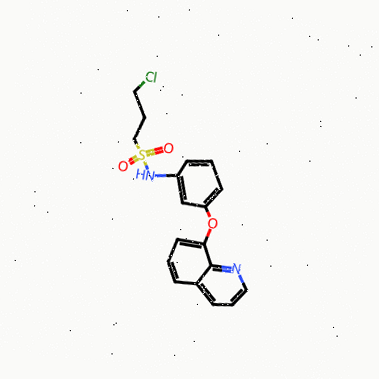 O=S(=O)(CCCCl)Nc1cccc(Oc2cccc3cccnc23)c1